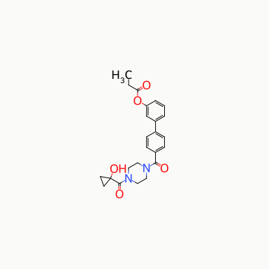 CCC(=O)Oc1cccc(-c2ccc(C(=O)N3CCN(C(=O)C4(O)CC4)CC3)cc2)c1